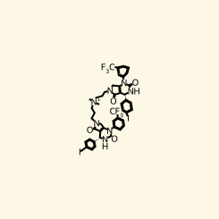 C[N+](C)(CCCN1CC2=C(C1=O)[C@@H](c1ccc(I)cc1)NC(=O)N2c1cccc(C(F)(F)F)c1)CCCN1CC2=C(C1=O)[C@@H](c1ccc(I)cc1)NC(=O)N2c1cccc(C(F)(F)F)c1